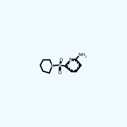 Nc1cccc(S(=O)(=O)N2CCCCC2)n1